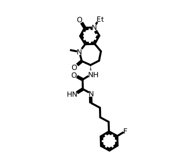 CCn1cc2c(cc1=O)N(C)C(=O)[C@@H](NC(=O)C(=N)/N=C/CCCc1ccccc1F)CC2